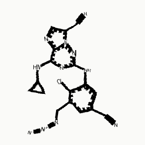 N#Cc1cc(CN=[N+]=[N-])c(Cl)c(Nc2nc(NC3CC3)c3ncc(C#N)n3n2)c1